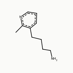 Cc1ncccc1CCCCN